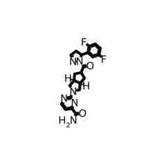 NC(=O)c1ccnc(N2C[C@H]3CC(C(=O)N4N=CCC4c4cc(F)ccc4F)C[C@H]3C2)n1